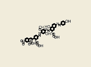 COc1cc(N=Nc2c(SOOO)cc3cc(N=Nc4ccc(O)cc4)ccc3c2O)c(O)cc1N=Nc1ccc(C=Cc2ccc([N+](=O)[O-])cc2S(=O)(=O)O)c(SOOO)c1